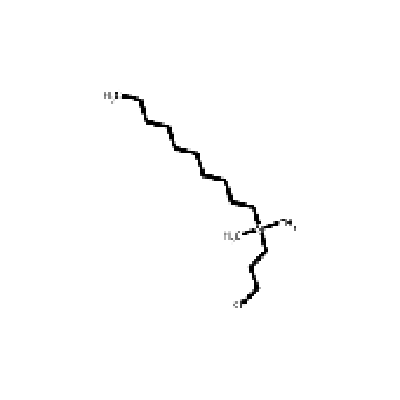 CCCCCCCCCC[Si](C)(C)CCCCl